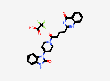 O=C(CCCc1nc2ccccc2c(=O)[nH]1)N1CC=C(n2c(=O)[nH]c3ccccc32)CC1.O=C(O)C(F)(F)F